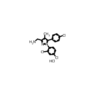 Cc1c(CN)nn(-c2ccc(Cl)cc2Cl)c1-c1ccc(Cl)cc1.Cl